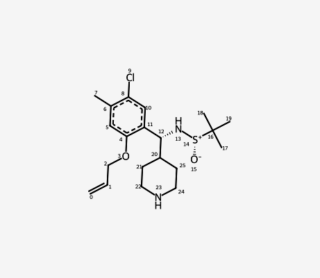 C=CCOc1cc(C)c(Cl)cc1[C@H](N[S@@+]([O-])C(C)(C)C)C1CCNCC1